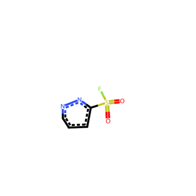 O=S(=O)(F)c1cccnn1